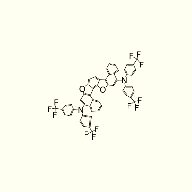 FC(F)(F)c1ccc(N(c2ccc(C(F)(F)F)cc2)c2cc3oc4c(ccc5oc6cc(N(c7ccc(C(F)(F)F)cc7)c7ccc(C(F)(F)F)cc7)c7ccccc7c6c54)c3c3ccccc23)cc1